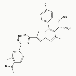 Cc1cc2nc(-c3cnnc(-c4ccc5c(cnn5C)c4)c3)sc2c(-c2ccc(Cl)cc2)c1[C@H](OC(C)(C)C)C(=O)O